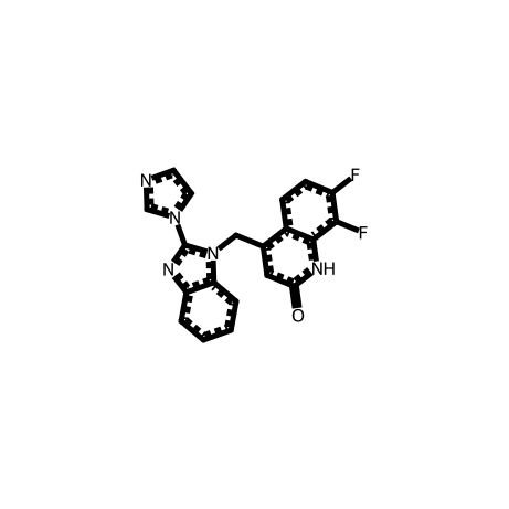 O=c1cc(Cn2c(-n3ccnc3)nc3ccccc32)c2ccc(F)c(F)c2[nH]1